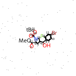 COC(=O)[C@@H]1CC(C(O)c2ccc(Br)cc2F)CN1C(=O)OC(C)(C)C